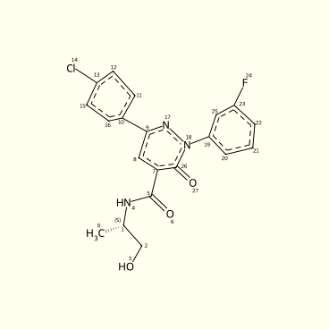 C[C@@H](CO)NC(=O)c1cc(-c2ccc(Cl)cc2)nn(-c2cccc(F)c2)c1=O